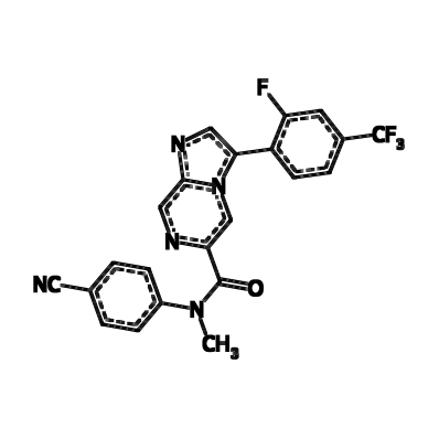 CN(C(=O)c1cn2c(-c3ccc(C(F)(F)F)cc3F)cnc2cn1)c1ccc(C#N)cc1